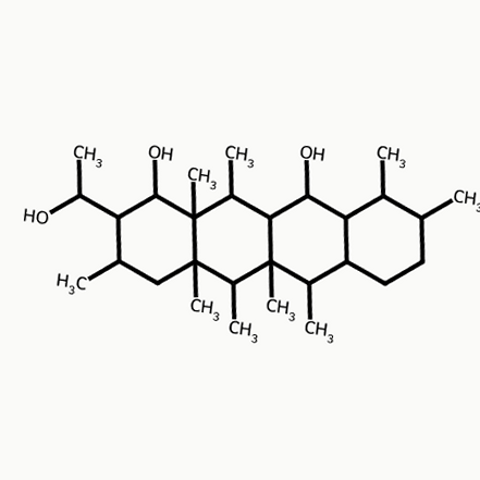 CC(O)C1C(C)CC2(C)C(C)C3(C)C(C)C4CCC(C)C(C)C4C(O)C3C(C)C2(C)C1O